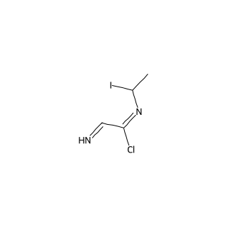 CC(I)/N=C(/Cl)C=N